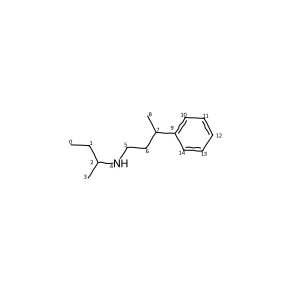 CCC(C)NCCC(C)c1ccccc1